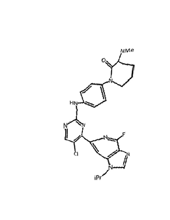 CNC1CCCN(c2ccc(Nc3ncc(Cl)c(-c4cc5c(ncn5C(C)C)c(F)n4)n3)cc2)C1=O